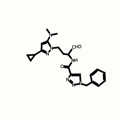 CN(C)c1cc(C2CC2)nn1CCC(C=O)NC(=O)c1cn(Cc2ccccc2)nn1